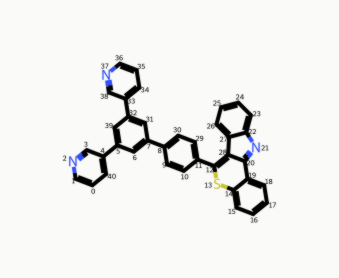 c1cncc(-c2cc(-c3ccc(-c4sc5ccccc5c5nc6ccccc6c4-5)cc3)cc(-c3cccnc3)c2)c1